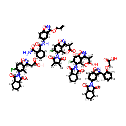 C=CCOc1noc2ccc(NC(=O)C3=C(C(N)=O)CCCC3)cc12.CC1=C(C)C(=O)N(c2c(F)cc3onc(C(C)C(=O)O)c3c2C)C1=O.Cc1c(N2C(=O)C3CCCCC3C2=O)c(F)cc2onc(C(C)C(=O)O)c12.Cc1c(N2C(=O)C3CCCCC3C2=O)c(F)cc2onc(CC(=O)O)c12.O=C(O)COc1ccccc1-c1noc2ccc(N3C(=O)C4CCCCC4C3=O)cc12